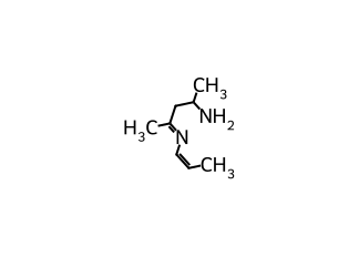 C/C=C\N=C(/C)CC(C)N